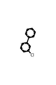 Clc1cc[c]c(-c2ccccc2)c1